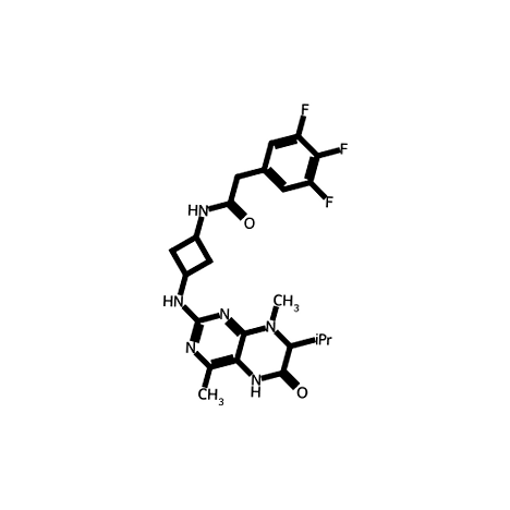 Cc1nc(NC2CC(NC(=O)Cc3cc(F)c(F)c(F)c3)C2)nc2c1NC(=O)C(C(C)C)N2C